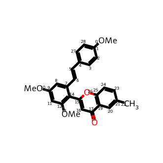 COc1ccc(C=Cc2cc(OC)cc(OC)c2-c2cc(=O)c3cc(C)ccc3o2)cc1